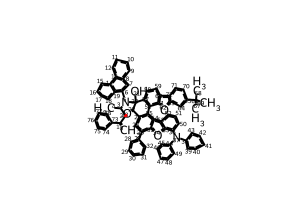 C=C(CC(C)N(c1cc2ccccc2c2ccccc12)C1(O)C(=O)c2cc(-c3ccccc3)c3oc4c(N(c5ccccc5)c5ccccc5)cccc4c3c2-c2c1ccc1c2oc2cc(C(C)(C)C)ccc21)c1ccccc1